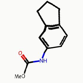 COC(=O)Nc1ccc2c(c1)CCC2